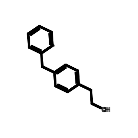 OCCc1ccc(Cc2[c]cccc2)cc1